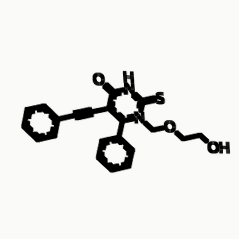 O=c1[nH]c(=S)n(COCCO)c(-c2ccccc2)c1C#Cc1ccccc1